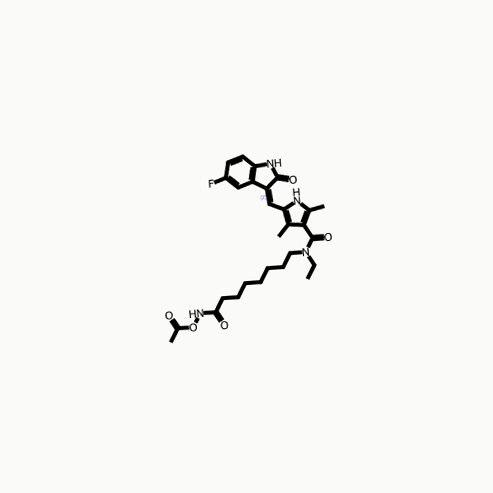 CCN(CCCCCCCC(=O)NOC(C)=O)C(=O)c1c(C)[nH]c(/C=C2\C(=O)Nc3ccc(F)cc32)c1C